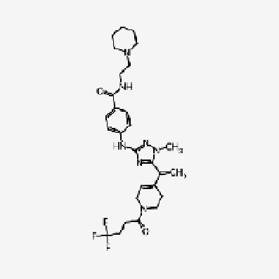 C=C(C1=CCN(C(=O)CCC(F)(F)F)CC1)c1nc(Nc2ccc(C(=O)NCCN3CCCCC3)cc2)nn1C